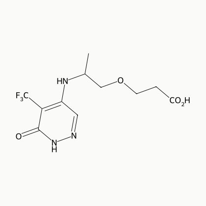 CC(COCCC(=O)O)Nc1cn[nH]c(=O)c1C(F)(F)F